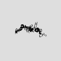 CCCC(=O)N1CCC(Nc2cc(C(=O)NCC(O)CN3CCc4cc(OCc5cnco5)ccc4C3)ccn2)CC1